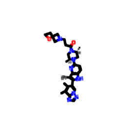 Cc1c(-c2[nH]c3ccc(N4C[C@@H](C)N(C(=O)CCN5CC6(CCO6)C5)C[C@@H]4C)nc3c2C(C)C)cn2ncnc2c1C